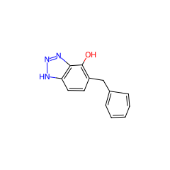 Oc1c(Cc2ccccc2)ccc2[nH]nnc12